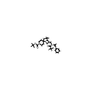 CC(C)(C)OC(=O)N1CCC(CC#N)(N2CC(CN(C(=O)C(F)(F)F)[C@@H]3C[C@H]3c3ccccc3)C2)CC1